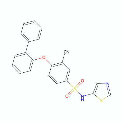 N#Cc1cc(S(=O)(=O)Nc2cncs2)ccc1Oc1ccccc1-c1ccccc1